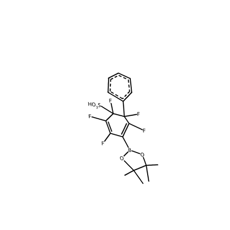 CC1(C)OB(C2=C(F)C(F)(c3ccccc3)C(F)(S(=O)(=O)O)C(F)=C2F)OC1(C)C